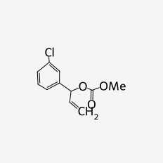 C=CC(OC(=O)OC)c1cccc(Cl)c1